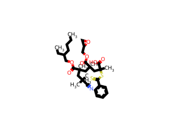 CCCCC(CC)COC(=O)C(C)(CC(C)(C)C#N)CC(C)(CC(C)(SC(=S)c1ccccc1)C(=O)O)C(=O)OCC1CO1